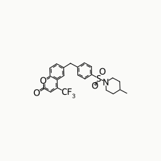 CC1CCN(S(=O)(=O)c2ccc(Cc3ccc4oc(=O)cc(C(F)(F)F)c4c3)cc2)CC1